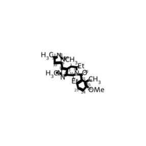 CC[C@H]1Cc2c(nn(C)c2-c2cc(C)nn2C)[C@@H](CC)N1C(=O)c1cccc(OC)c1C